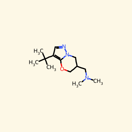 CN(C)CC1COc2c(C(C)(C)C)cnn2C1